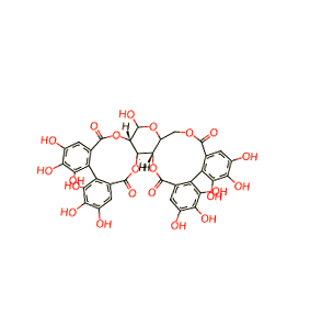 O=C1OCC2OC(O)[C@H]3OC(=O)c4cc(O)c(O)c(O)c4-c4c(cc(O)c(O)c4O)C(=O)O[C@@H]3[C@H]2OC(=O)c2cc(O)c(O)c(O)c2-c2c1cc(O)c(O)c2O